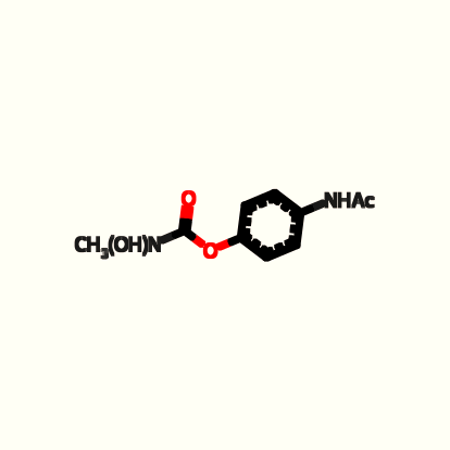 CC(=O)Nc1ccc(OC(=O)N(C)O)cc1